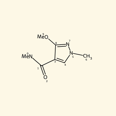 CNC(=O)c1cn(C)nc1OC